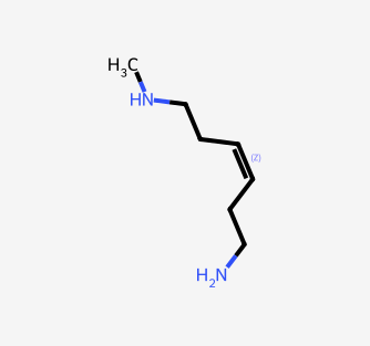 CNCC/C=C\CCN